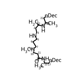 C=C(CCNCCCN(C)CCC(=O)NC(C)CCCCCCCCCCC)NC(C)CCCCCCCCCCC